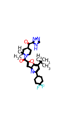 CC(C)(C)c1cc(C2CCC(F)(F)CC2)nc2cc(C(=O)N3CCC(C(=O)c4nnc[nH]4)CC3(C)C)oc12